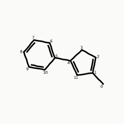 CC1=CCC(c2ccccc2)=C1